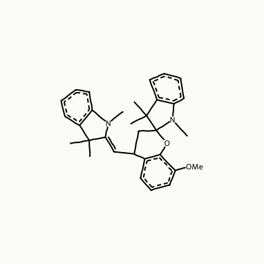 COc1cccc2c1OC1(CC2C=C2N(C)c3ccccc3C2(C)C)N(C)c2ccccc2C1(C)C